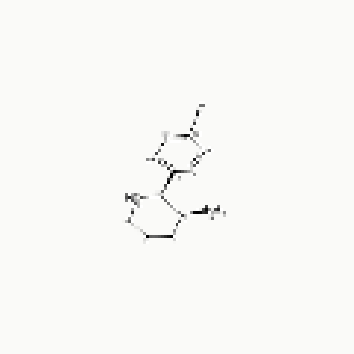 N[C@H]1CCCN[C@H]1c1ccc(F)cc1